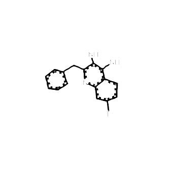 Nc1c(Cc2ccccc2)nc2cc(Br)ccc2c1N